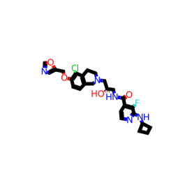 O=C(NC[C@H](O)CN1CCc2c(ccc(OCc3cnco3)c2Cl)C1)c1ccnc(NC2CCC2)c1F